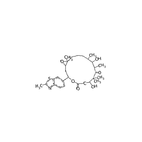 Cc1nc2ccc(C3CC4OC4(C)CCCC(C)C(O)C(C)C(=O)C(C)(C)C(O)CC(=O)O3)cc2s1